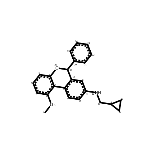 COc1cccc2c1-c1ccc(NCC3CC3)cc1C(c1ccccc1)O2